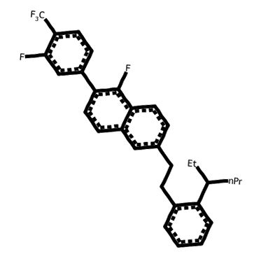 CCCC(CC)c1ccccc1CCc1ccc2c(F)c(-c3ccc(C(F)(F)F)c(F)c3)ccc2c1